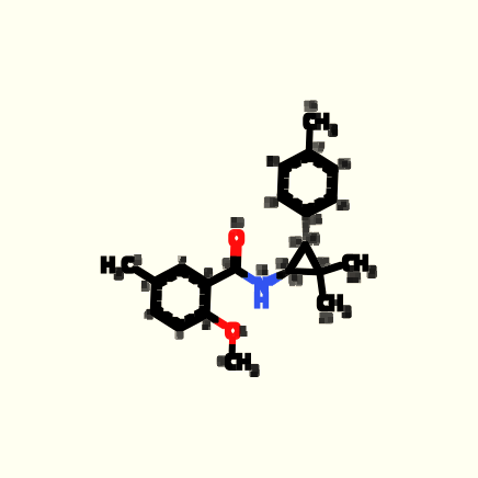 COc1ccc(C)cc1C(=O)N[C@H]1[C@H](c2ccc(C)cc2)C1(C)C